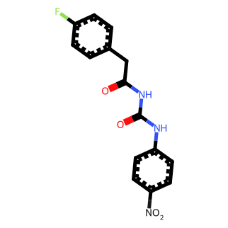 O=C(Cc1ccc(F)cc1)NC(=O)Nc1ccc([N+](=O)[O-])cc1